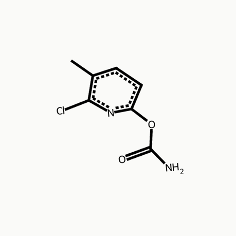 Cc1ccc(OC(N)=O)nc1Cl